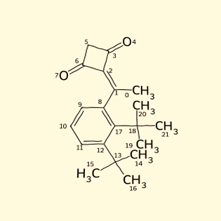 CC(=C1C(=O)CC1=O)c1cccc(C(C)(C)C)c1C(C)(C)C